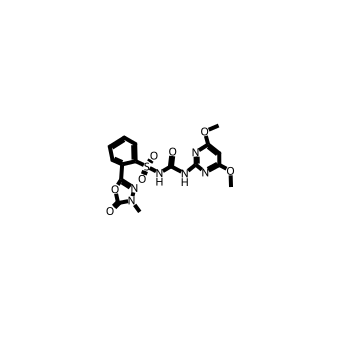 COc1cc(OC)nc(NC(=O)NS(=O)(=O)c2ccccc2-c2nn(C)c(=O)o2)n1